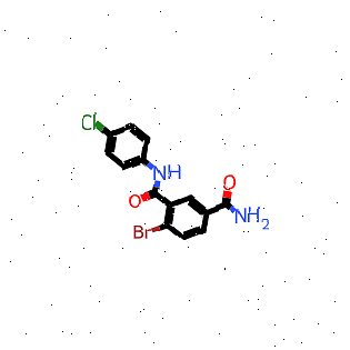 NC(=O)c1ccc(Br)c(C(=O)Nc2ccc(Cl)cc2)c1